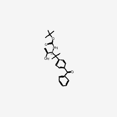 C=C(O)[C@@H](NC(=O)OC(C)(C)C)C(C)(C)c1ccc(C(=O)c2ccccc2)cc1